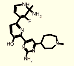 CN1CCCC(c2cc(-c3nc(C4=C(F)C(C)(N)NC=C4)ccc3O)nc(N)n2)CC1